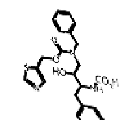 O=C(O)NC(Cc1ccccc1)C(O)CN(Cc1ccccc1)C(=O)OCc1cncs1